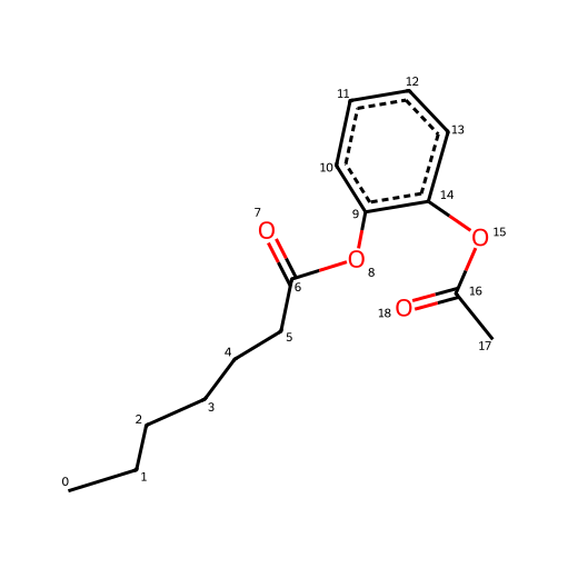 CCCCCCC(=O)Oc1ccccc1OC(C)=O